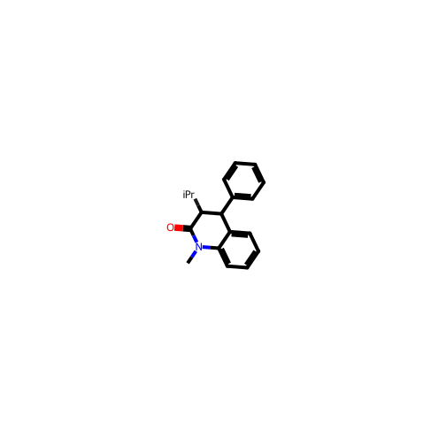 CC(C)C1C(=O)N(C)c2ccccc2C1c1ccccc1